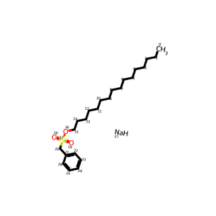 CCCCCCCCCCCCCCCCOS(=O)(=O)Cc1ccccc1.[NaH]